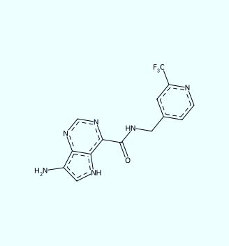 Nc1c[nH]c2c(C(=O)NCc3ccnc(C(F)(F)F)c3)ncnc12